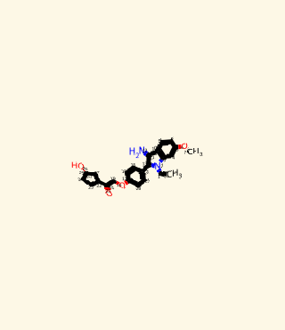 CCN1c2cc(OC)ccc2C(N)C1c1ccc(OCC(=O)C2CC[C@H](O)C2)cc1